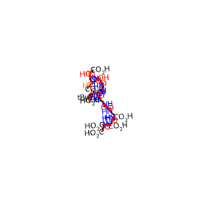 CC(C)(C)S(F)(c1ccc(C(=O)NC[C@H](C(=O)N[C@H](CCCCNC(=O)CCC(=O)NCCC[C@H](NC(=O)CC[C@H](NC(=O)N[C@@H](CCCC(=O)O)C(=O)O)C(=O)O)C(=O)O)C(=O)O)n2cc(CNC(=O)CCP(=O)(O)CN3CCN(CPCCC(=O)O)CCN(CP(=O)(O)CCC(=O)O)CC3)nn2)cc1)C(C)(C)C